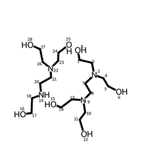 OCCN(CCO)CCN(CCO)CCO.OCCNCCN(CCO)CCO